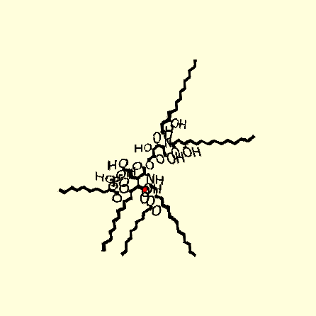 CCCCCCCCCCC[C@@H](O)CC(=O)N[C@@H]1C(O)OC(CO[C@@H]2OC(CO)[C@@H](OP(=O)(O)O)[C@H](C(C(=O)O)[C@@H](CCCCCCCCCCC)OC(=O)CCCCCCCCC)[C@@H]2NC(=O)C[C@@H](CCCCCCCCCCC)OC(=O)CCCCCCCCC)[C@@H](O)[C@@H]1OC(=O)C[C@H](O)CCCCCCCCCCC